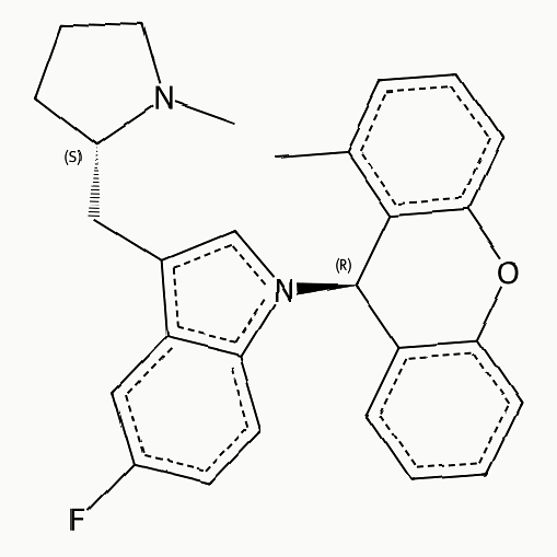 Cc1cccc2c1[C@H](n1cc(C[C@@H]3CCCN3C)c3cc(F)ccc31)c1ccccc1O2